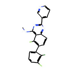 CNc1nc(-c2cccnc2)nc2ccc(-c3cccc(F)c3Cl)c(F)c12